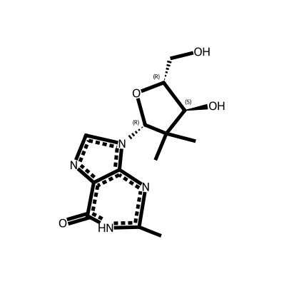 Cc1nc2c(ncn2[C@@H]2O[C@H](CO)[C@@H](O)C2(C)C)c(=O)[nH]1